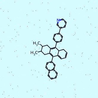 CC1CC2=C(c3ccc4ccccc4c3)C3=CC=CCC3C(c3ccc(-c4cccnc4)cc3)=C2CC1C